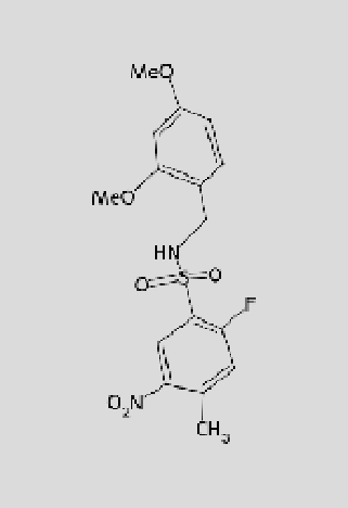 COc1ccc(CNS(=O)(=O)c2cc([N+](=O)[O-])c(C)cc2F)c(OC)c1